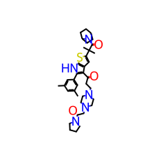 Cc1cc(C)cc(-c2[nH]c3sc(C(C)(C)C(=O)N4C5CCC4CC5)cc3c2C(=O)CCN2CCN(CC(=O)N3CCCC3)CC2)c1